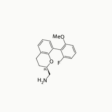 COc1cccc(F)c1-c1cccc2c1O[C@@H](CN)CC2